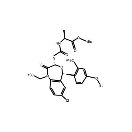 CCOc1ccc([C@@H]2O[C@@H](CC(=O)N[C@@H](C)C(=O)OC(C)(C)C)C(=O)N(CC(C)(C)C)c3ccc(Cl)cc32)c(OC)c1